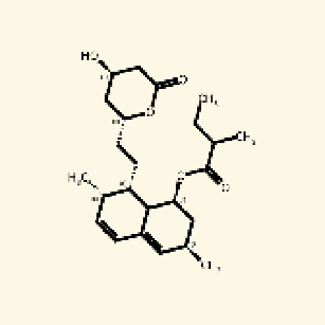 CCC(C)C(=O)O[C@H]1C[C@@H](C)C=C2C=C[C@H](C)[C@H](CC[C@@H]3C[C@@H](O)CC(=O)O3)C21